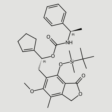 COc1c(C)c2c(c(O[Si](C)(C)C(C)(C)C)c1C[C@@H](OC(=O)N[C@H](C)c1ccccc1)C1=CCCC1)C(=O)OC2